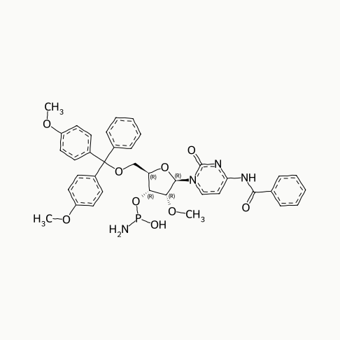 COc1ccc(C(OC[C@H]2O[C@@H](n3ccc(NC(=O)c4ccccc4)nc3=O)[C@H](OC)[C@@H]2OP(N)O)(c2ccccc2)c2ccc(OC)cc2)cc1